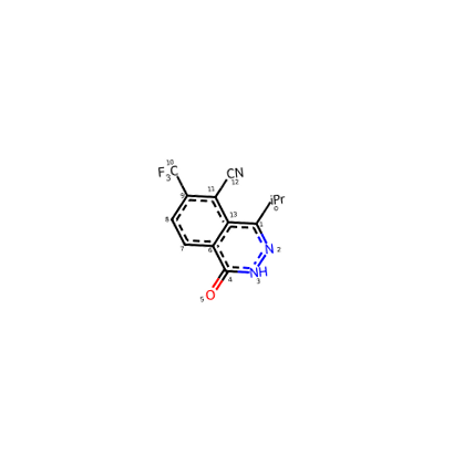 CC(C)c1n[nH]c(=O)c2ccc(C(F)(F)F)c(C#N)c12